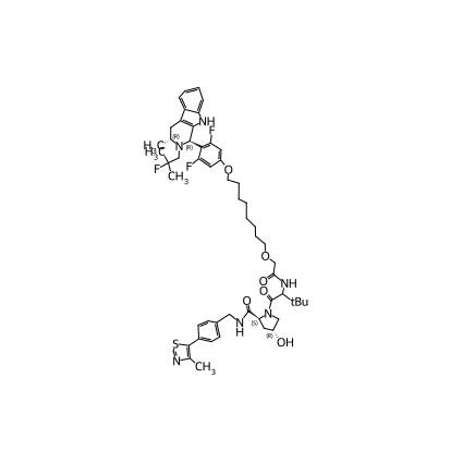 Cc1ncsc1-c1ccc(CNC(=O)[C@@H]2C[C@@H](O)CN2C(=O)C(NC(=O)COCCCCCCCCOc2cc(F)c([C@@H]3c4[nH]c5ccccc5c4C[C@@H](C)N3CC(C)(C)F)c(F)c2)C(C)(C)C)cc1